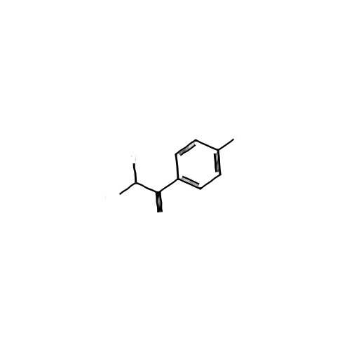 CC(C)(C)C(N)C(=O)c1ccc(Cl)cc1.Cl